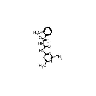 Cc1nc(C)nc(NC(=O)NS(=O)(=O)c2ccccc2C)n1